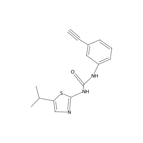 C#Cc1cccc(NC(=O)Nc2ncc(C(C)C)s2)c1